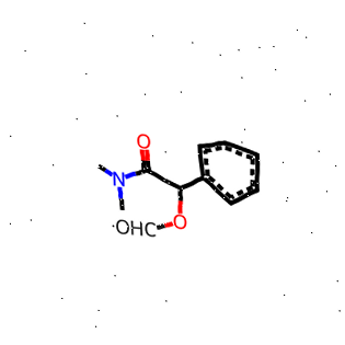 CN(C)C(=O)C(O[C]=O)c1ccccc1